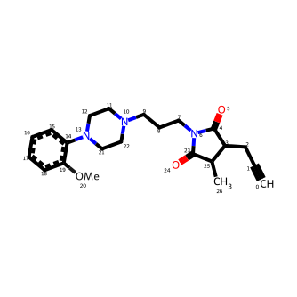 C#CCC1C(=O)N(CCCN2CCN(c3ccccc3OC)CC2)C(=O)C1C